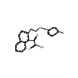 Cc1ccc(OCCc2ccc3ccccc3c2C(=O)C(=O)O)cc1